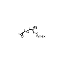 CCCCCCCCC(CC)COCC1CO1